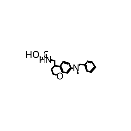 CN(Cc1ccccc1)c1ccc2c(c1)OCCC2CNC(=O)O